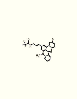 CN1c2ccccc2-c2nc3ccc(Cl)cc3c3cc(/C=C/CNC(=O)C(F)(F)F)cc1c23